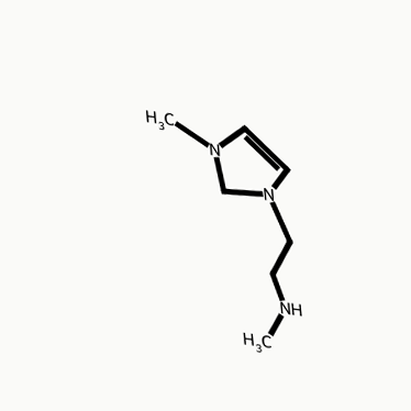 CNCCN1C=CN(C)C1